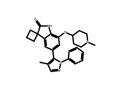 Cc1cnn(-c2ccccc2)c1-c1cc(OC2CCN(C)CC2)c2c(c1)C1(CCC1)C(=O)N2